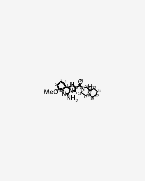 COc1cccc2c1nc(N)n1cc(C(=O)N3CCN4CCCC[C@@H]4C3)nc21